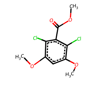 COC(=O)c1c(Cl)c(OC)cc(OC)c1Cl